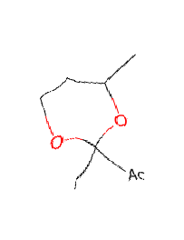 CC(=O)C1(C)OCCC(C)O1